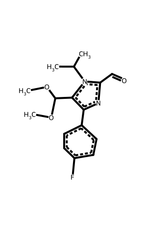 COC(OC)c1c(-c2ccc(F)cc2)nc(C=O)n1C(C)C